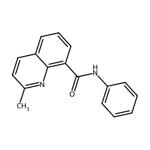 Cc1ccc2cccc(C(=O)Nc3ccccc3)c2n1